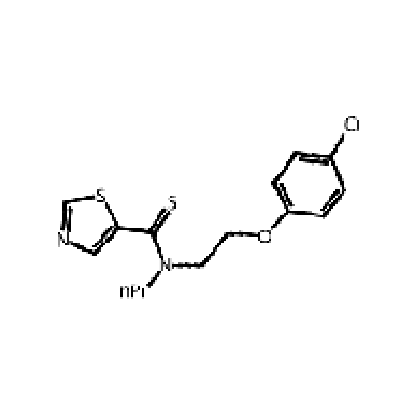 CCCN(CCOc1ccc(Cl)cc1)C(=S)c1cncs1